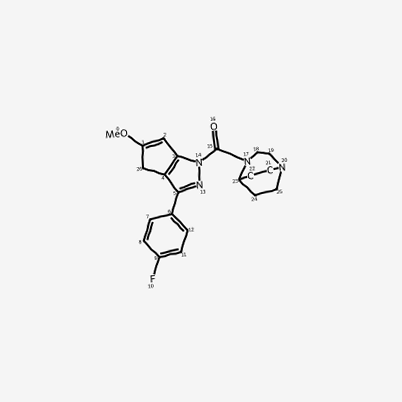 COC1=Cc2c(c(-c3ccc(F)cc3)nn2C(=O)N2CCN3CCC2CC3)C1